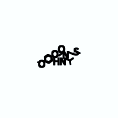 COc1ccc(OCC(=O)N(CCSC)C(=N)C(C)C)cc1